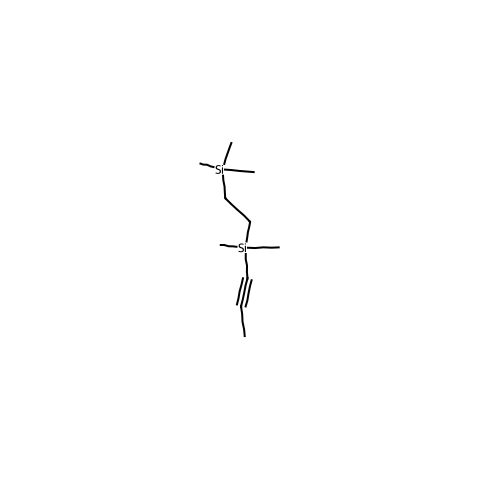 CC#C[Si](C)(C)CC[Si](C)(C)C